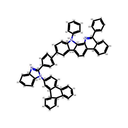 c1ccc(-c2nc3c(ccc4c5cc(-c6ccc(-c7nc8ccccc8n7-c7ccc8c9ccccc9c9ccccc9c8c7)cc6)ccc5n(-c5ccccc5)c43)c3ccccc23)cc1